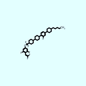 CCCCCC1CCC(c2ccc(C3CCC(C4CCC(C(F)(F)Oc5cc(F)c(C=C(F)F)c(F)c5)CC4)CC3)c(F)c2)CC1